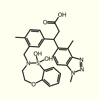 Cc1ccc(C(CC(=O)O)c2ccc3c(nnn3C)c2C)cc1CN1CCOc2ccccc2S1(O)O